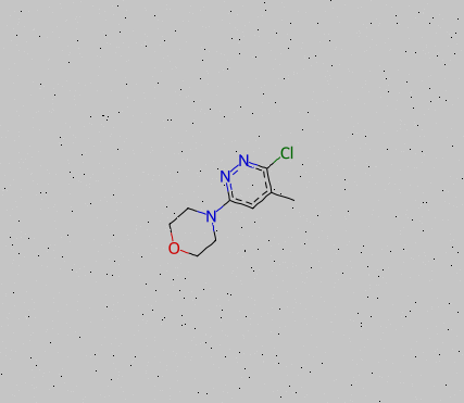 Cc1cc(N2CCOCC2)nnc1Cl